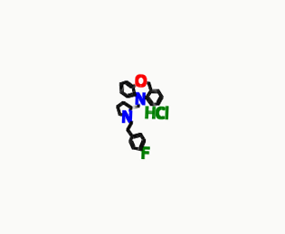 Cl.Fc1ccc(CCN2CCC[C@@H]2CN2c3ccccc3COc3ccccc32)cc1